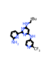 CC(C)(C)CNc1cc(Nc2ccnc(C(F)(F)F)c2)nc(-c2cccc(N)n2)n1